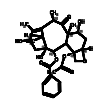 CC(=O)O[C@@]12CO[C@@H]1C[C@H](O)[C@@]1(C)C(=O)[C@H](C)C3=C(C)C(O)C[C@@](O)([C@@H](OC(=O)c4ccccc4)C12)C3(C)C